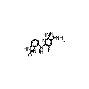 Nc1n[nH]c2nc(Nc3cccc4[nH]c(=O)[nH]c34)c(F)cc12